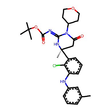 Cc1cccc(Nc2cccc([C@]3(C)CC(=O)N(C4CCOCC4)C(=NC(=O)OC(C)(C)C)N3)c2Cl)c1